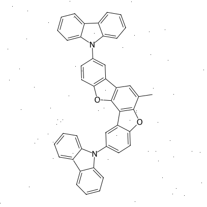 Cc1cc2c3cc(-n4c5ccccc5c5ccccc54)ccc3oc2c2c1oc1ccc(-n3c4ccccc4c4ccccc43)cc12